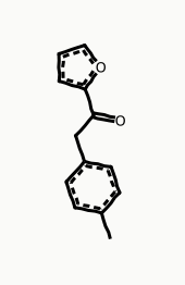 Cc1ccc(CC(=O)c2ccco2)cc1